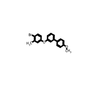 COc1ccc(-c2cccc(Oc3ccc(Br)c(C)c3)c2)cc1